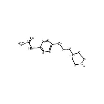 CC(=O)Nc1ccc(OCCN2CCOCC2)cc1